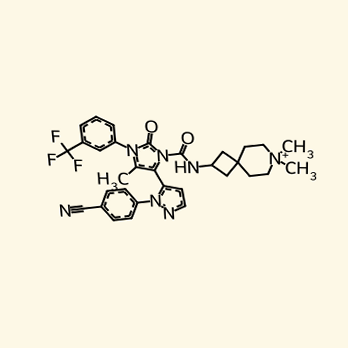 Cc1c(-c2ccnn2-c2ccc(C#N)cc2)n(C(=O)NC2CC3(CC[N+](C)(C)CC3)C2)c(=O)n1-c1cccc(C(F)(F)F)c1